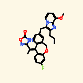 CCCc1nc2c(OC)cccn2c1Cc1ccc2c(c1)COc1cc(F)ccc1/C2=C(\C)c1noc(=O)[nH]1